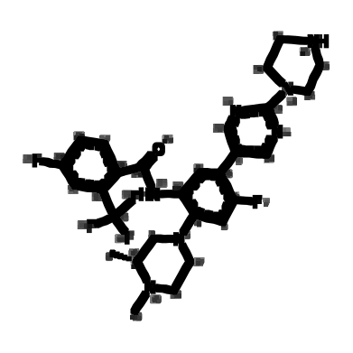 C[C@@H]1CN(c2cc(F)c(-c3cnc(N4CCNCC4)nc3)cc2NC(=O)c2ccc(F)cc2C(F)(F)F)CCN1C